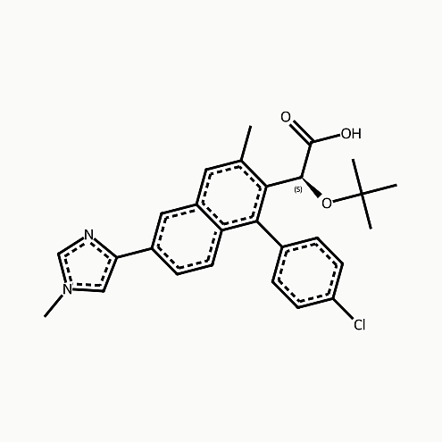 Cc1cc2cc(-c3cn(C)cn3)ccc2c(-c2ccc(Cl)cc2)c1[C@H](OC(C)(C)C)C(=O)O